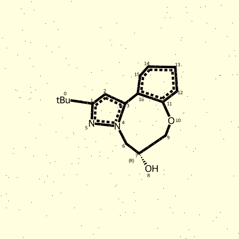 CC(C)(C)c1cc2n(n1)C[C@@H](O)COc1ccccc1-2